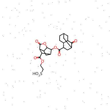 O=C(OC1C2CC3C1OC(=O)C3C2C(=O)OCCS(=O)(=O)O)C1CC2CC3CCC1C(C3)C2=O